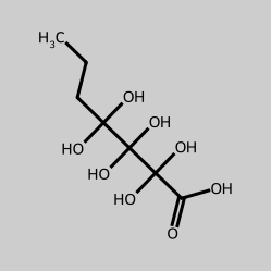 CCCC(O)(O)C(O)(O)C(O)(O)C(=O)O